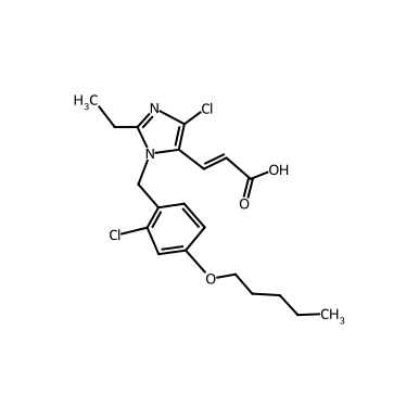 CCCCCOc1ccc(Cn2c(CC)nc(Cl)c2C=CC(=O)O)c(Cl)c1